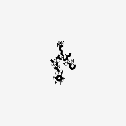 CC[C@H](C)[C@H](NC(=O)C1CCCCN1C)C(=O)N(CCCCc1cn(C)nn1)[C@H](C[C@@H](OC(C)=O)c1nc(C(=O)Oc2c(F)c(F)c(F)c(F)c2F)cs1)C(C)C